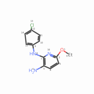 CCOc1ccc(N)c(Nc2ccc(Cl)cc2)n1